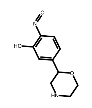 O=Nc1ccc(C2CNCCO2)cc1O